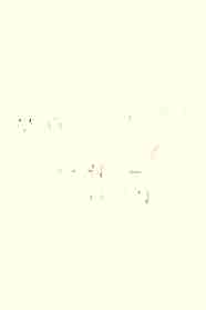 COc1cccc(S(C)(=O)=NC(=O)c2cncc(C#Cc3ccccc3Cl)c2)c1